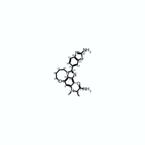 CC(C(N)=O)N(C)c1cc2c3c(c1)nc(-c1ccc4nc(N)sc4c1)n3CCCCO2